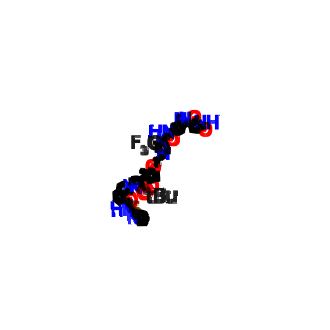 Cc1c(OCCCN2CCN(CC(=O)Nc3ccc4c(C5CCC(=O)NC5=O)nn(C)c4c3)[C@H](C(F)(F)F)C2)cccc1-c1ccc(N2CCc3cccc(C(=O)Nc4nc5ccccc5s4)c3C2)nc1C(=O)OC(C)(C)C